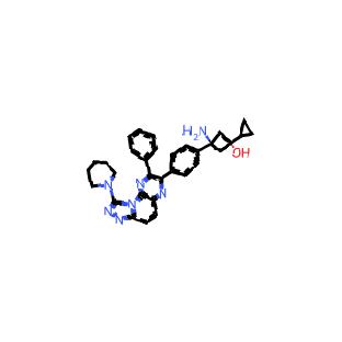 N[C@]1(c2ccc(-c3nc4ccc5nnc(N6CCCCC6)n5c4nc3-c3ccccc3)cc2)C[C@](O)(C2CC2)C1